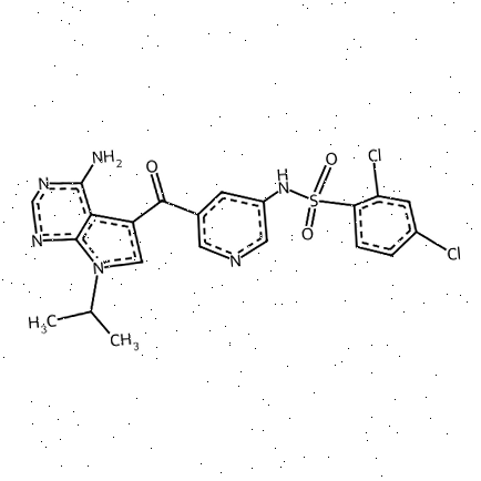 CC(C)n1cc(C(=O)c2cncc(NS(=O)(=O)c3ccc(Cl)cc3Cl)c2)c2c(N)ncnc21